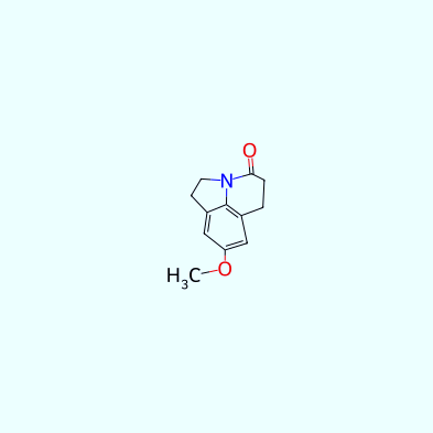 COc1cc2c3c(c1)CCN3C(=O)CC2